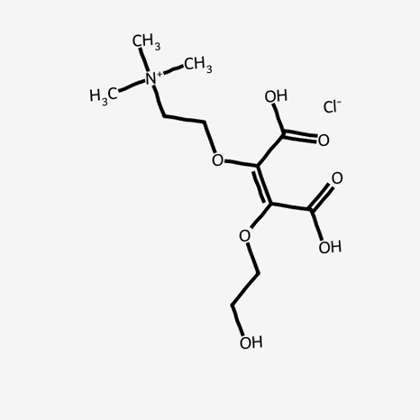 C[N+](C)(C)CCO/C(C(=O)O)=C(\OCCO)C(=O)O.[Cl-]